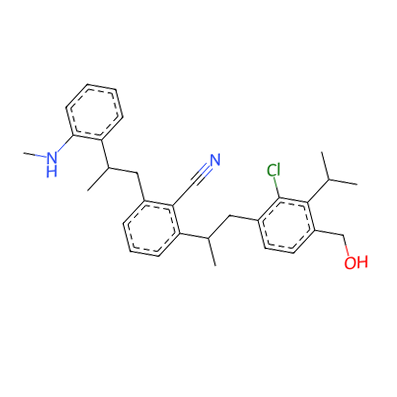 CNc1ccccc1C(C)Cc1cccc(C(C)Cc2ccc(CO)c(C(C)C)c2Cl)c1C#N